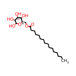 CCCCCCCCCCCCCCCC(=O)OC[C@H]1OC(O)[C@H](O)[C@@H](O)[C@@H]1O